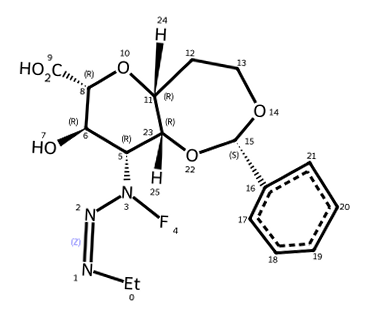 CC/N=N\N(F)[C@@H]1[C@@H](O)[C@H](C(=O)O)O[C@@H]2CCO[C@H](c3ccccc3)O[C@H]12